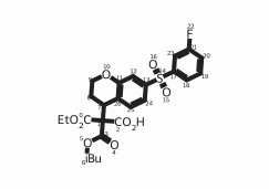 CCOC(=O)C(C(=O)O)(C(=O)OC(C)CC)C1CCOc2cc(S(=O)(=O)c3cccc(F)c3)ccc21